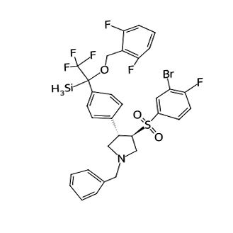 O=S(=O)(c1ccc(F)c(Br)c1)[C@H]1CN(Cc2ccccc2)C[C@@H]1c1ccc(C([SiH3])(OCc2c(F)cccc2F)C(F)(F)F)cc1